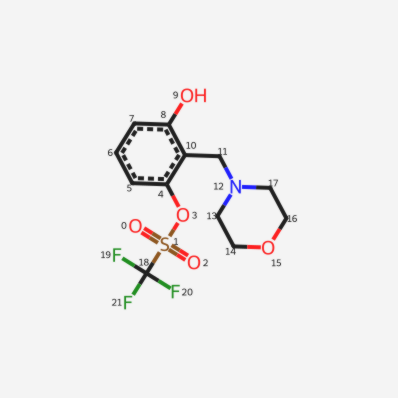 O=S(=O)(Oc1cccc(O)c1CN1CCOCC1)C(F)(F)F